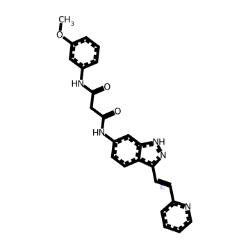 COc1cccc(NC(=O)CC(=O)Nc2ccc3c(/C=C/c4ccccn4)n[nH]c3c2)c1